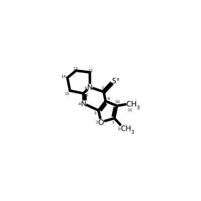 Cc1oc2nc3n(c(=S)c2c1C)CCCC3